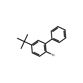 [2H]c1ccc(C(C)(C)C)cc1-c1ccccc1